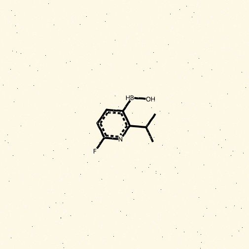 CC(C)c1nc(F)ccc1BO